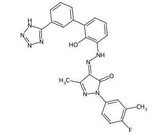 CC1=NN(c2ccc(F)c(C)c2)C(=O)C1=NNc1cccc(-c2cccc(-c3nnn[nH]3)c2)c1O